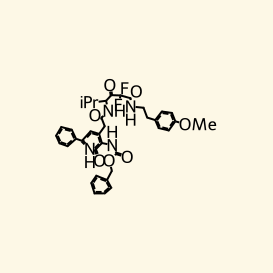 COc1ccc(CCNC(=O)C(F)(F)C(=O)C(NC(=O)Cc2cc(-c3ccccc3)[nH]c(=O)c2NC(=O)OCc2ccccc2)C(C)C)cc1